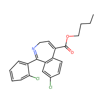 CCCCOC(=O)C1=CCN=C(c2ccccc2Cl)c2cc(Cl)ccc21